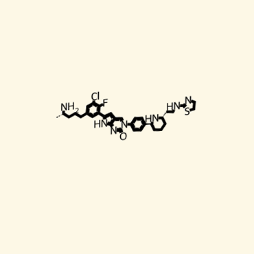 C[C@H](N)CCCc1cc(Cl)c(F)c(-c2cc3cn(-c4ccc([C@@H]5CCC[C@@H](CCNC6=NCCS6)N5)cc4)c(=O)nc3[nH]2)c1